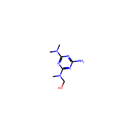 CN(C)c1nc(N)nc(N(C)CO)n1